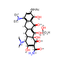 CCN(CC)c1cc(NC(C)=O)c(O)c2c1CC1CC3[C@H](N(C)C)C(O)=C(C(N)=O)C(=O)[C@@]3(O)C(O)=C1C2=O.O=S(=O)(O)O